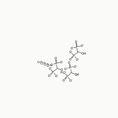 O=P([O-])([O-])C(O)P(=O)([O-])[O-].O=P([O-])([O-])C(O)P(=O)([O-])[O-].O=P([O-])([O-])C(O)P(=O)([O-])[O-].[Cr+3].[Cr+3].[Cr+3].[Cr+3]